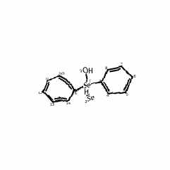 O[SeH](=[Se])(c1ccccc1)c1ccccc1